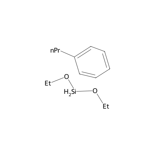 CCCc1ccccc1.CCO[SiH2]OCC